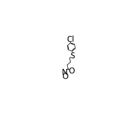 O=NC(=O)CCCSc1ccc(Cl)cc1